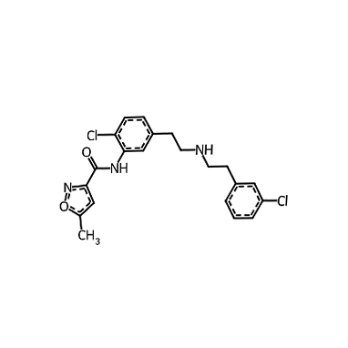 Cc1cc(C(=O)Nc2cc(CCNCCc3cccc(Cl)c3)ccc2Cl)no1